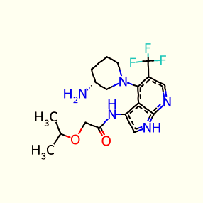 CC(C)OCC(=O)Nc1c[nH]c2ncc(C(F)(F)F)c(N3CCC[C@@H](N)C3)c12